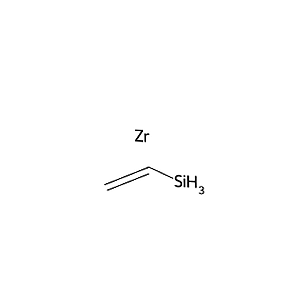 C=C[SiH3].[Zr]